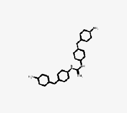 C=C(NC1CCC(CC2CCC(N)CC2)CC1)NC1CCC(CC2CCC(N)CC2)CC1